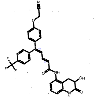 N#CCOc1ccc(/C(=C/C=C/C(=O)Nc2cccc3c2CC(O)C(=O)N3)c2ccc(C(F)(F)F)cc2)cc1